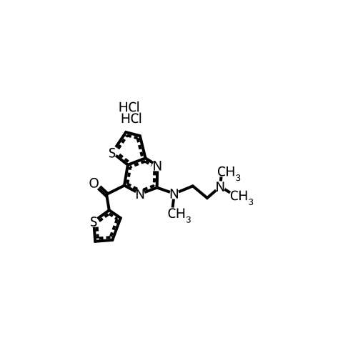 CN(C)CCN(C)c1nc(C(=O)c2cccs2)c2sccc2n1.Cl.Cl